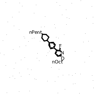 CCCCCCCCOc1ccc(-c2ccc(C3CCC(CCCCC)CC3)cc2)c(F)n1